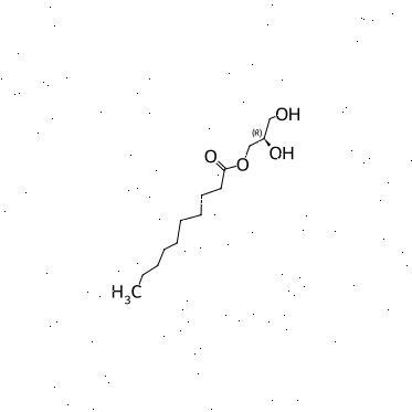 CCCCCCCCCC(=O)OC[C@H](O)CO